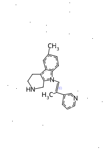 C/C(=C\n1c2c(c3cc(C)ccc31)CCNC2)c1cccnc1